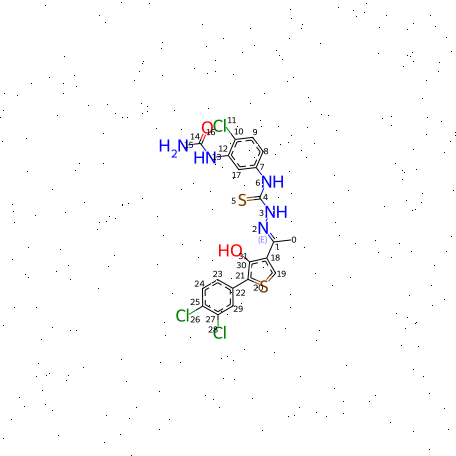 C/C(=N\NC(=S)Nc1ccc(Cl)c(NC(N)=O)c1)c1csc(-c2ccc(Cl)c(Cl)c2)c1O